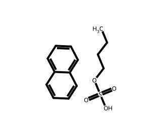 CCCCOS(=O)(=O)O.c1ccc2ccccc2c1